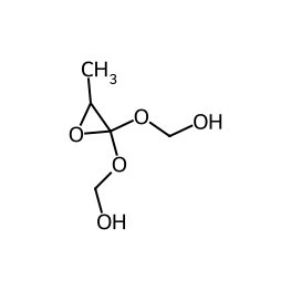 CC1OC1(OCO)OCO